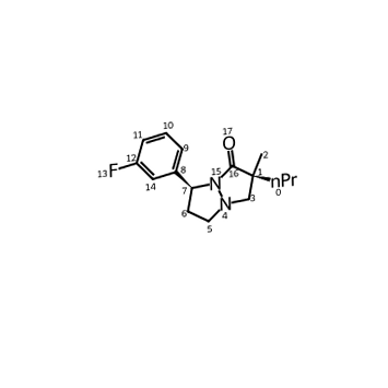 CCC[C@@]1(C)CN2CC[C@@H](c3cccc(F)c3)N2C1=O